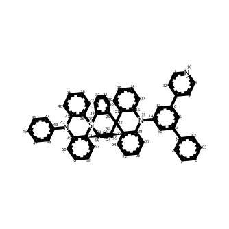 c1ccc(-c2cc(-c3ccncc3)cc(N3c4ccccc4C4(c5ccccc53)c3ccccc3[Si]3(c5ccccc5N(c5ccccc5)c5ccccc53)c3ccccc34)c2)cc1